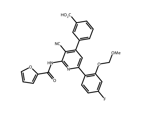 COCOc1cc(F)ccc1-c1cc(-c2cccc(C(=O)O)c2)c(C#N)c(NC(=O)c2ccco2)n1